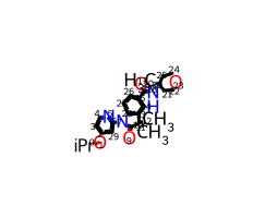 CC(C)Oc1ccnc(N2C(=O)C(C)(C)c3cc(C(=O)NC4(C)CCOCC4)ccc32)c1